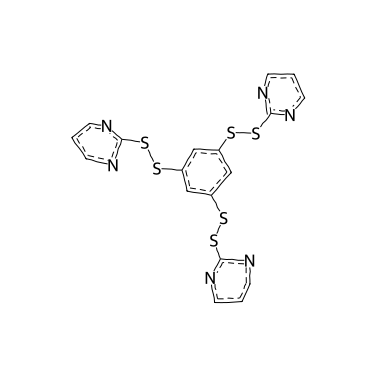 c1cnc(SSc2cc(SSc3ncccn3)cc(SSc3ncccn3)c2)nc1